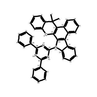 CC1(C)c2ccccc2Oc2c1c1ccccc1c1c3ccccc3n(-c3nc(-c4ccccc4)nc(-c4ccccc4)n3)c21